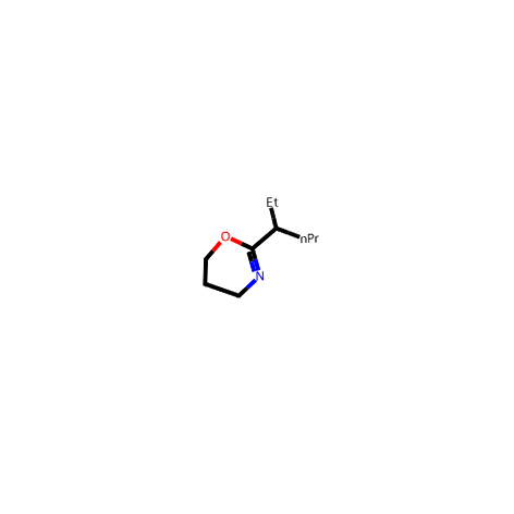 CCCC(CC)C1=NCCCO1